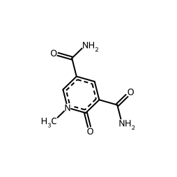 Cn1cc(C(N)=O)cc(C(N)=O)c1=O